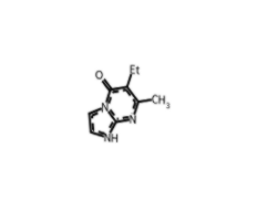 CCc1c(C)nc2[nH]ccn2c1=O